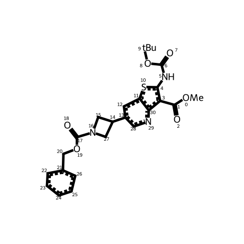 COC(=O)c1c(NC(=O)OC(C)(C)C)sc2cc(C3CN(C(=O)OCc4ccccc4)C3)cnc12